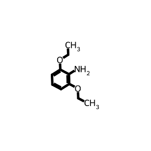 CCOc1cccc(OCC)c1N